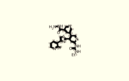 CCNC(=O)Nc1cc(-c2nc(-c3cccnc3F)cs2)c(-c2cncc(C(=O)NN)c2)cn1